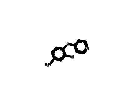 Nc1ccc(Oc2ccncc2)c(Cl)c1